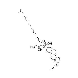 CCC[C@@H](C)[C@H]1CCC2C3CCC4CC(P(=O)(O)OC(C(=O)CCCCCCCCCCCCCCC(C)C)[C@@H](O)CO)CC[C@]4(C)C3CC[C@@]21C